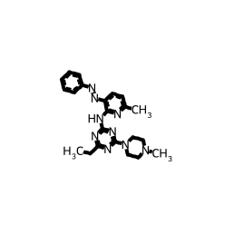 CCc1nc(Nc2nc(C)ccc2/N=N/c2ccccc2)nc(N2CCN(C)CC2)n1